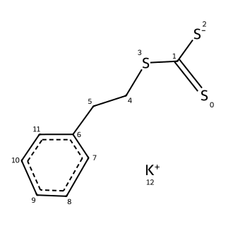 S=C([S-])SCCc1ccccc1.[K+]